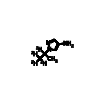 [2H]C([2H])([2H])C([2H])(C)n1cc(N)cn1